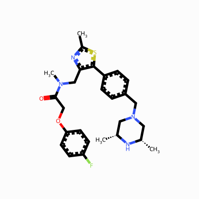 Cc1nc(CN(C)C(=O)COc2ccc(F)cc2)c(-c2ccc(CN3C[C@@H](C)N[C@@H](C)C3)cc2)s1